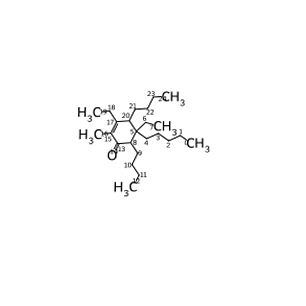 CCCCCC1(CC)C(CCCC)C(=O)C(C)=C(CC)C1CCCC